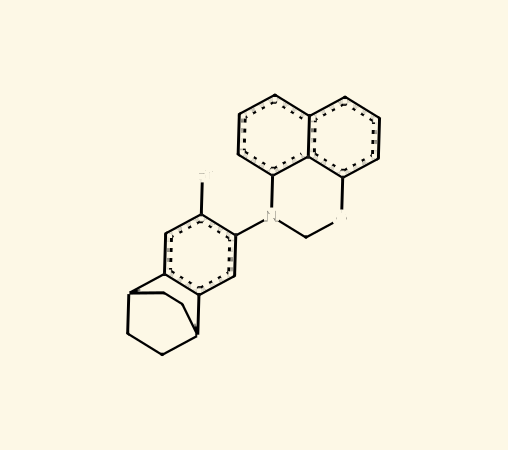 Brc1cc2c(cc1N1COc3cccc4cccc1c34)C1CCC2CC1